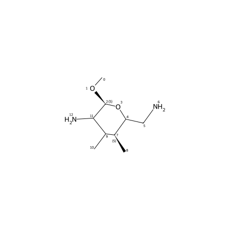 CO[C@H]1OC(CN)[C@@H](C)C(C)C1N